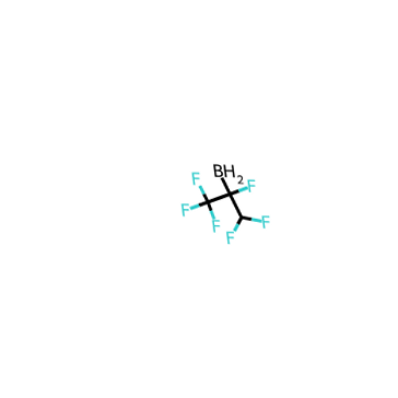 BC(F)(C(F)F)C(F)(F)F